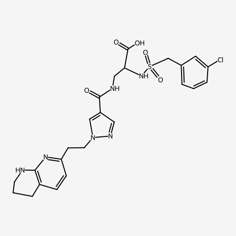 O=C(NCC(NS(=O)(=O)Cc1cccc(Cl)c1)C(=O)O)c1cnn(CCc2ccc3c(n2)NCCC3)c1